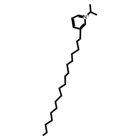 CCCCCCCCCCCCCCCCCCc1ccc[n+](C(C)C)c1